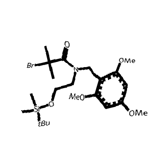 COc1cc(OC)c(CN(CCO[Si](C)(C)C(C)(C)C)C(=O)C(C)(C)Br)c(OC)c1